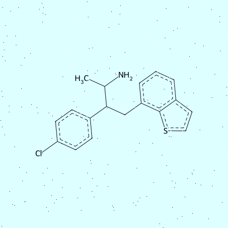 CC(N)C(Cc1cccc2ccsc12)c1ccc(Cl)cc1